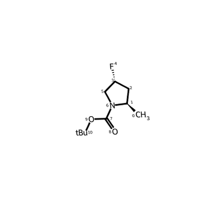 C[C@@H]1C[C@@H](F)CN1C(=O)OC(C)(C)C